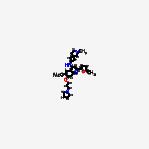 COc1cc2c(NC3CC4(CCN(C)C4)C3)cc(-c3ccc(C)o3)nc2cc1OCCCN1CCCC1